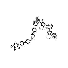 Cc1cc(-c2n[nH]c3ncc(-c4ccc(N5CCN(CC6CCN(c7ccc(N8CCC(=O)NC8=O)cc7)CC6)CC5)cc4)cc23)c(F)cc1C(C)NC(=O)c1nc(C(C)(C)C)no1